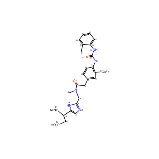 COc1cc(CC(=O)N(C)Cc2ncc(C(CC(=O)O)NC(C)=O)[nH]2)ccc1NC(=O)Nc1ccccc1C